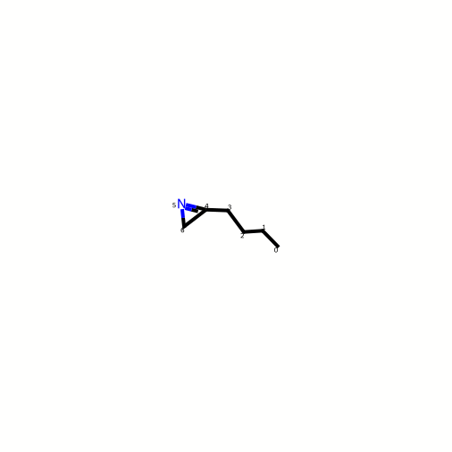 CCCCC1=NC1